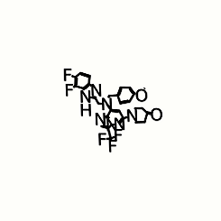 COc1ccc(CN(Cc2nc3ccc(F)c(F)c3[nH]2)c2cc(N3CCC(=O)CC3)nn3c(C(F)(F)F)cnc23)cc1